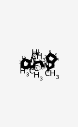 CC1Cc2ccccc2N1C=CC1N(C)c2ccccc2C1(C)C.I